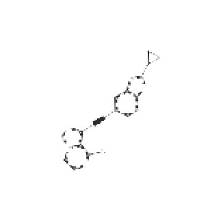 Nc1nccn2cnc(C#Cc3ccc4oc(C5CC5)nc4c3)c12